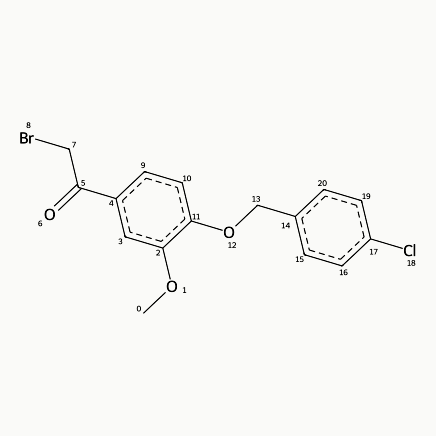 COc1cc(C(=O)CBr)ccc1OCc1ccc(Cl)cc1